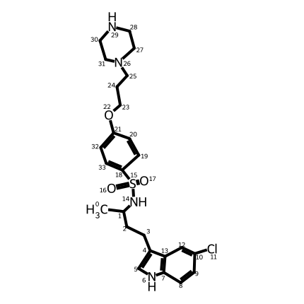 CC(CCc1c[nH]c2ccc(Cl)cc12)NS(=O)(=O)c1ccc(OCCCN2CCNCC2)cc1